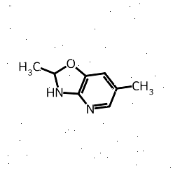 Cc1cnc2c(c1)OC(C)N2